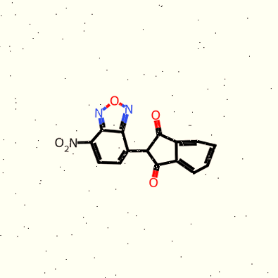 O=C1c2ccccc2C(=O)C1c1ccc([N+](=O)[O-])c2nonc12